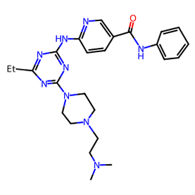 CCc1nc(Nc2ccc(C(=O)Nc3ccccc3)cn2)nc(N2CCN(CCN(C)C)CC2)n1